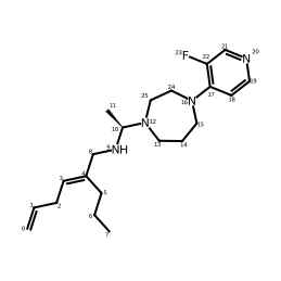 C=CC/C=C(\CCC)CN[C@@H](C)N1CCCN(c2ccncc2F)CC1